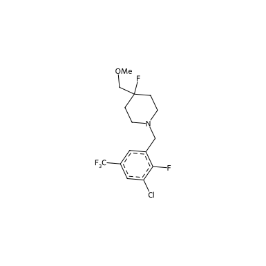 COCC1(F)CCN(Cc2cc(C(F)(F)F)cc(Cl)c2F)CC1